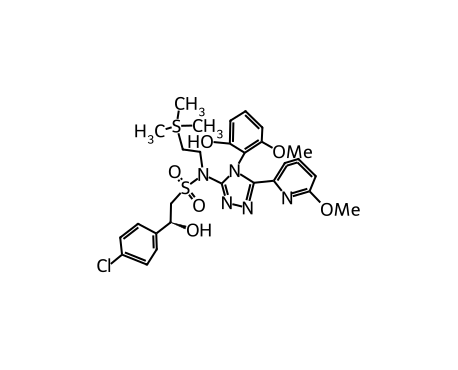 COC1=NC(c2nnc(N(CCS(C)(C)C)S(=O)(=O)C[C@@H](O)c3ccc(Cl)cc3)n2-c2c(O)cccc2OC)=C=C=C1